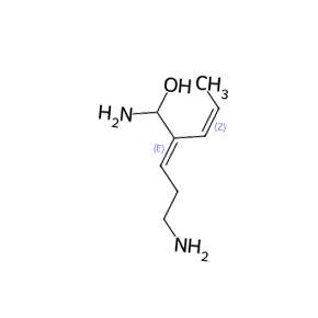 C/C=C\C(=C/CCN)C(N)O